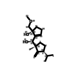 C=C1[C@@H](C(C)C)CC[C@]1(C)[C@H](O)C1=CCC[C@]1(O)COC